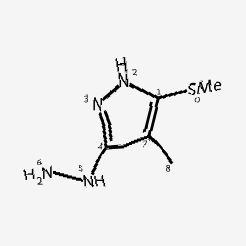 CSc1[nH]nc(NN)c1C